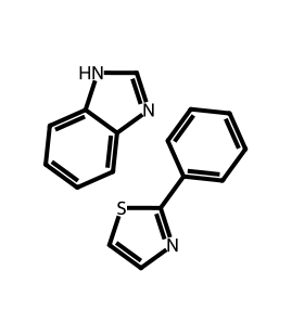 c1ccc(-c2nccs2)cc1.c1ccc2[nH]cnc2c1